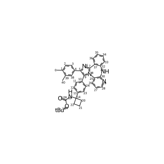 Cc1ccc(-c2nc3n(c2-c2ccc(C4(NC(=O)OC(C)(C)C)CCC4)cc2)-c2cccnc2Nc2ccccc2-3)cc1C